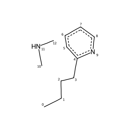 CCCCc1ccccn1.CNC